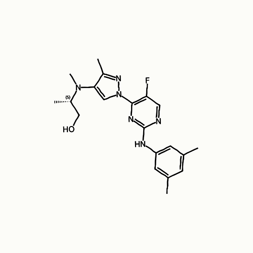 Cc1cc(C)cc(Nc2ncc(F)c(-n3cc(N(C)[C@@H](C)CO)c(C)n3)n2)c1